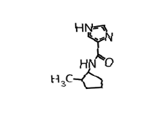 CC1CCCC1NC(=O)c1c[nH]cn1